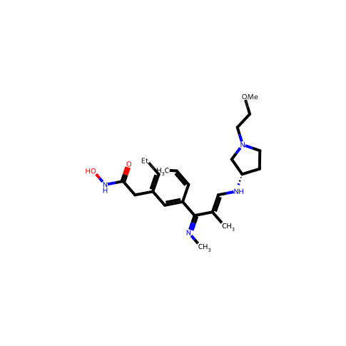 C\C=C/C(=C\C(=C\CC)CC(=O)NO)C(=N/C)/C(C)=C/N[C@H]1CCN(CCOC)C1